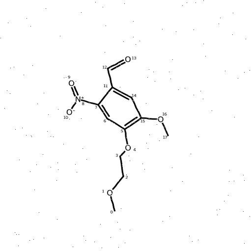 COCCOc1cc([N+](=O)[O-])c(C=O)cc1OC